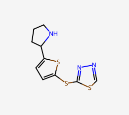 c1nnc(Sc2ccc(C3CCCN3)s2)s1